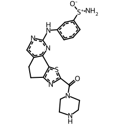 N[S+]([O-])c1cccc(Nc2ncc3c(n2)-c2sc(C(=O)N4CCNCC4)nc2CC3)c1